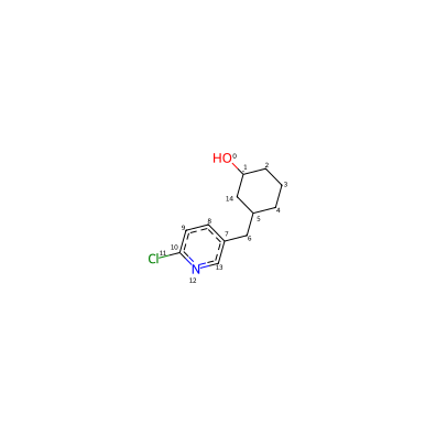 O[C]1CCCC(Cc2ccc(Cl)nc2)C1